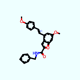 COc1ccc(/C=C/c2cc(OC)cc3oc(C(=O)NCc4ccccc4)cc23)cc1